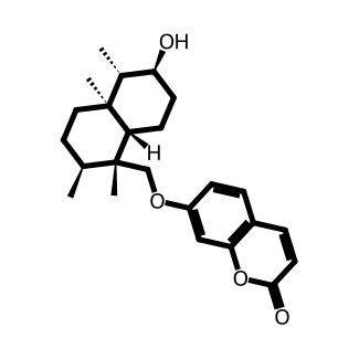 C[C@@H]1[C@@H](O)CC[C@@H]2[C@](C)(COc3ccc4ccc(=O)oc4c3)[C@@H](C)CC[C@]21C